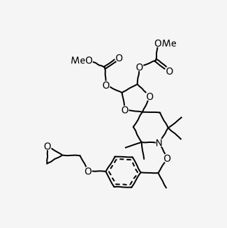 COC(=O)OC1OC2(CC(C)(C)N(OC(C)c3ccc(OCC4CO4)cc3)C(C)(C)C2)OC1OC(=O)OC